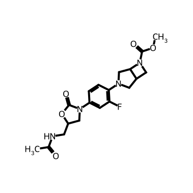 COC(=O)N1CC2CN(c3ccc(N4CC(CNC(C)=O)OC4=O)cc3F)CC21